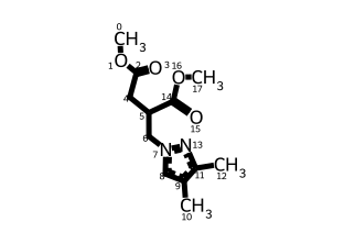 COC(=O)CC(Cn1cc(C)c(C)n1)C(=O)OC